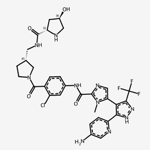 Cn1c(-c2c(C(F)(F)F)n[nH]c2-c2ccc(N)cn2)cnc1C(=O)Nc1ccc(C(=O)N2CC[C@H](CNC(=O)[C@@H]3C[C@@H](O)CN3)C2)c(Cl)c1